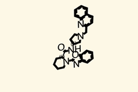 O=C(N[C@H]1CCN(Cc2ccc3ccccc3n2)C1)[C@@H]1CCCCN1c1nc2ccccc2o1